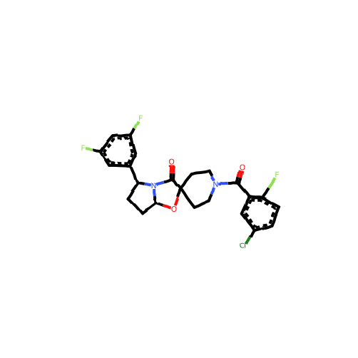 O=C(c1cc(Cl)ccc1F)N1CCC2(CC1)OC1CCC(c3cc(F)cc(F)c3)N1C2=O